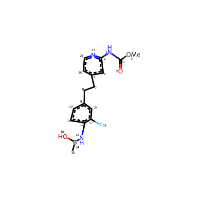 COC(=O)Nc1cc(CCc2ccc(NB(C)O)c(F)c2)ccn1